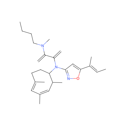 C=C(C(=C)N(c1cc(/C(C)=C/C)on1)C1CC/C(C)=C/C(C)=C\C1C)N(C)CCCC